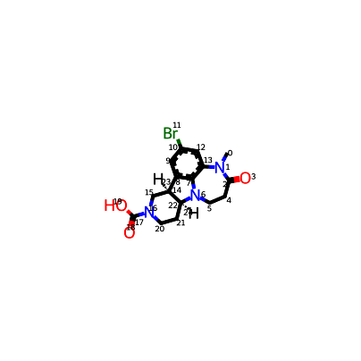 CN1C(=O)CCN2c3c(cc(Br)cc31)[C@@H]1CN(C(=O)O)CC[C@@H]12